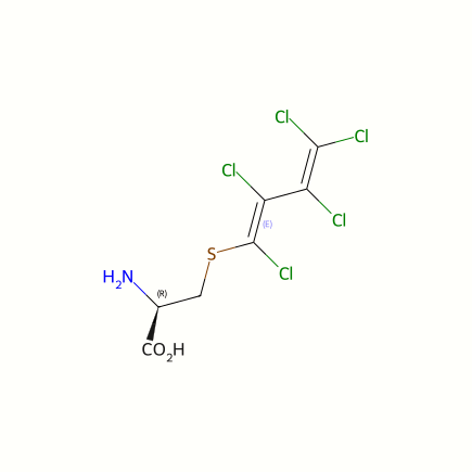 N[C@@H](CS/C(Cl)=C(\Cl)C(Cl)=C(Cl)Cl)C(=O)O